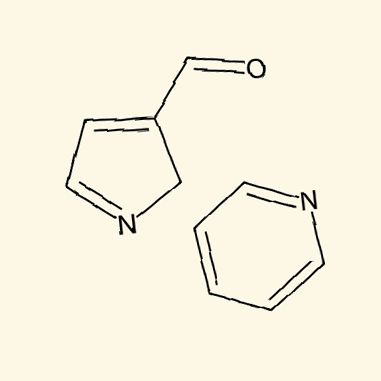 O=CC1=CC=NC1.c1ccncc1